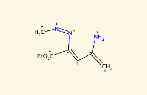 C=C(N)/C=C(\N=N/C)C(=O)OCC